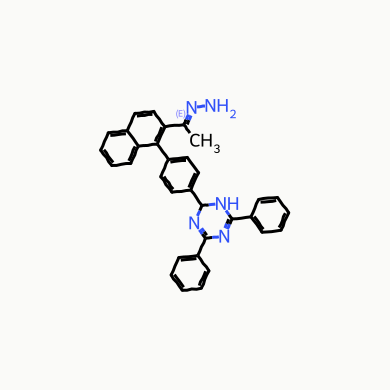 C/C(=N\N)c1ccc2ccccc2c1-c1ccc(C2N=C(c3ccccc3)N=C(c3ccccc3)N2)cc1